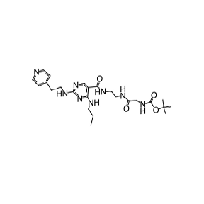 CCCNc1nc(NCCc2ccncc2)ncc1C(=O)NCCNC(=O)CNC(=O)OC(C)(C)C